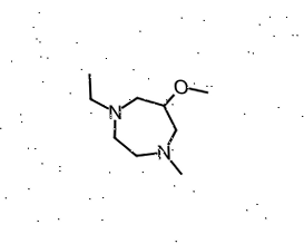 CCN1CCN(C)CC(OC)C1